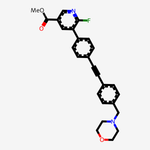 COC(=O)c1cnc(F)c(-c2ccc(C#Cc3ccc(CN4CCOCC4)cc3)cc2)c1